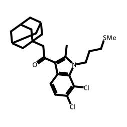 CSCCCn1c(C)c(C(=O)CC23CC4CC(CC(C4)C2)C3)c2ccc(Cl)c(Cl)c21